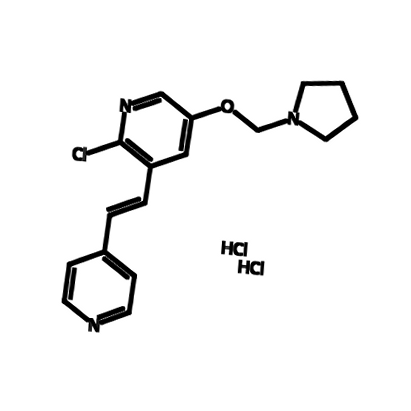 Cl.Cl.Clc1ncc(OCN2CCCC2)cc1C=Cc1ccncc1